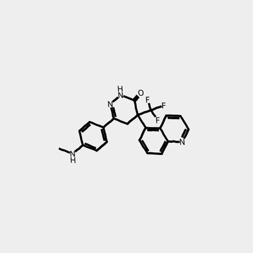 CNc1ccc(C2=NNC(=O)C(c3cccc4ncccc34)(C(F)(F)F)C2)cc1